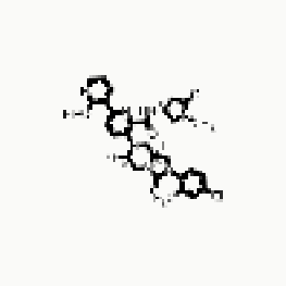 CCOc1ncccc1-c1ccc(N2C[C@H]3CN(c4ccc(Cl)cc4C(F)(F)F)C(=O)N3C[C@H]2CC)c(C(=O)N[C@@H]2CC(=O)N(C)C2)n1